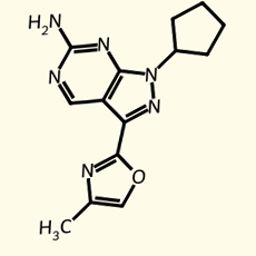 Cc1coc(-c2nn(C3CCCC3)c3nc(N)ncc23)n1